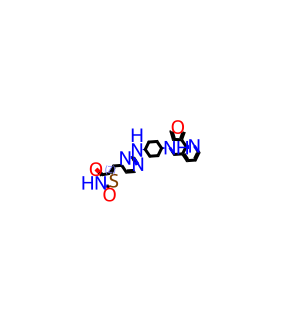 O=C1NC(=O)/C(=C/c2ccnc(N[C@H]3CC[C@H](NCc4cccnc4-c4ccoc4)CC3)n2)S1